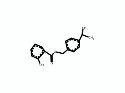 CC(C)c1ccc(COC(=O)c2ccccc2O)cc1